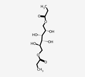 CCC(=O)OC[C@@H](O)[C@@H](O)[C@H](O)[C@@H](O)COC(=O)CC